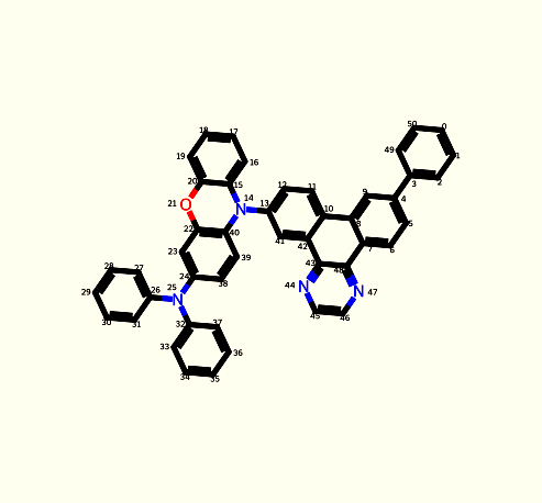 c1ccc(-c2ccc3c(c2)c2ccc(N4c5ccccc5Oc5cc(N(c6ccccc6)c6ccccc6)ccc54)cc2c2nccnc32)cc1